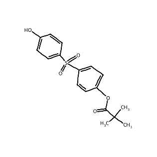 CC(C)(C)C(=O)Oc1ccc(S(=O)(=O)c2ccc(O)cc2)cc1